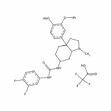 CCCOc1cc(C23CCC(NC(=O)Nc4ccc(F)c(F)c4)CC2N(C)CC3)ccc1OC.O=C(O)C(F)(F)F